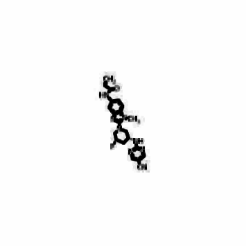 C=CC(=O)Nc1ccc2c(c1)nc(N1C[C@H](F)C[C@@H](Nc3ncc(C#N)cn3)C1)n2C